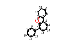 C1=Cc2c(oc3c(-c4ccccc4)cccc23)CC1